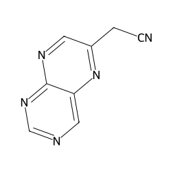 N#CCc1cnc2ncncc2n1